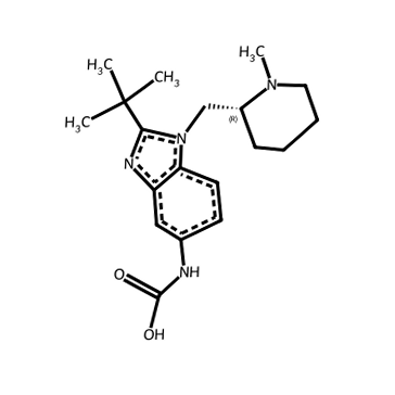 CN1CCCC[C@@H]1Cn1c(C(C)(C)C)nc2cc(NC(=O)O)ccc21